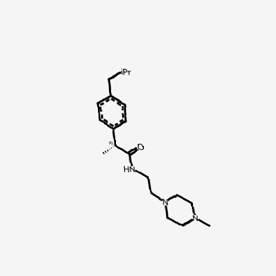 CC(C)Cc1ccc([C@@H](C)C(=O)NCCN2CCN(C)CC2)cc1